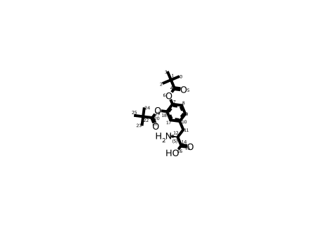 CC(C)(C)C(=O)Oc1ccc(C[C@H](N)C(=O)O)cc1OC(=O)C(C)(C)C